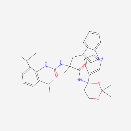 CC(C)c1cccc(C(C)C)c1NC(=O)NC(C)(Cc1c[nH]c2ccccc12)C(=O)NC1(c2ccccc2)CCOC(C)(C)O1